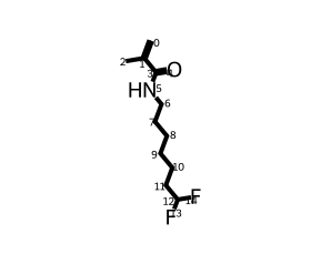 C=C(C)C(=O)NCCCCCCC(F)F